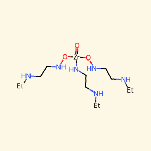 CCNCCN[O][Zr](=[O])([NH]CCNCC)[O]NCCNCC